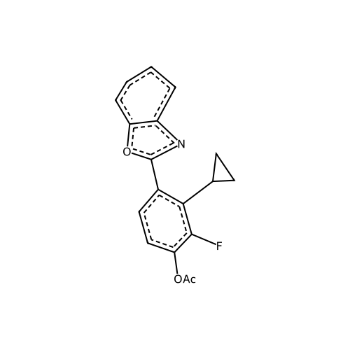 CC(=O)Oc1ccc(-c2nc3ccccc3o2)c(C2CC2)c1F